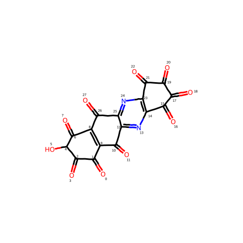 O=C1C(=O)C(O)C(=O)C2=C1C(=O)c1nc3c(=O)c(=O)c(=O)c(=O)c3nc1C2=O